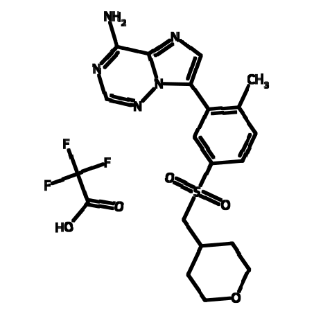 Cc1ccc(S(=O)(=O)CC2CCOCC2)cc1-c1cnc2c(N)ncnn12.O=C(O)C(F)(F)F